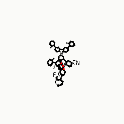 Cc1ccccc1-c1ccc2c(c1)c1cc(-c3ccccc3C)ccc1n2-c1ccc(-c2ccc(C(F)(F)F)cc2C(F)(F)F)c(-c2cc(C#N)ccc2-n2c3ccc(-c4ccccc4C)cc3c3cc(-c4ccccc4C)ccc32)c1